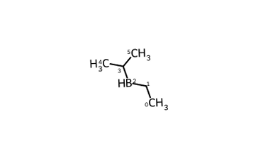 CCBC(C)C